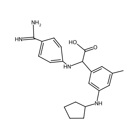 Cc1cc(NC2CCCC2)cc(C(Nc2ccc(C(=N)N)cc2)C(=O)O)c1